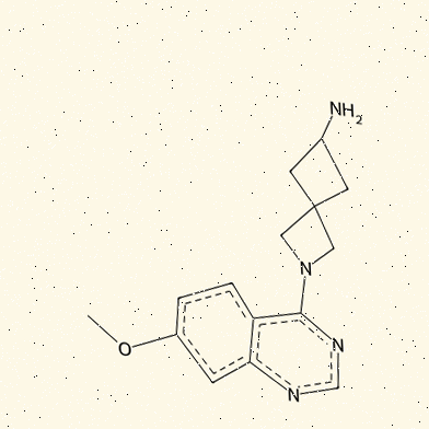 COc1ccc2c(N3CC4(CC(N)C4)C3)ncnc2c1